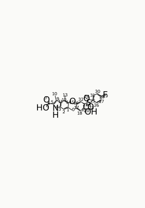 Cc1cc2[nH]c(C(=O)O)c(C)c2c(C)c1Oc1ccc(O)c(S(=O)(=O)c2ccc(F)cc2)c1